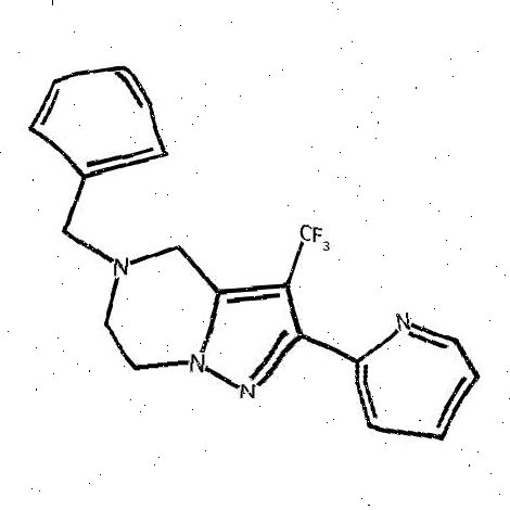 FC(F)(F)c1c(-c2ccccn2)nn2c1CN(Cc1ccccc1)CC2